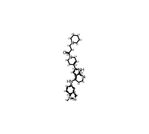 Cn1ncc2cc(NC3=c4cc(C5=CCN(C(=O)CCN6CCCCC6)CC5)[nH]c4=NCC3)ccc21